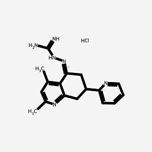 Cc1cc(C)c2c(n1)CC(c1ccccn1)C/C2=N/NC(=N)N.Cl